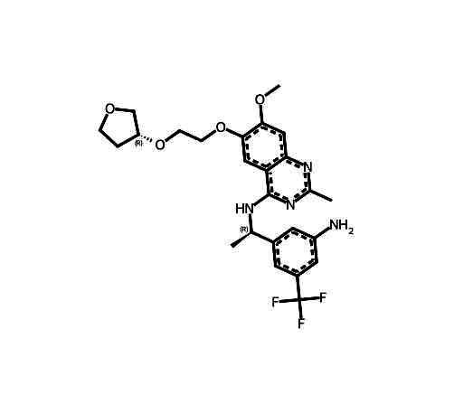 COc1cc2nc(C)nc(N[C@H](C)c3cc(N)cc(C(F)(F)F)c3)c2cc1OCCO[C@@H]1CCOC1